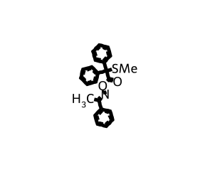 CSC(C(=O)O/N=C(\C)c1ccccc1)(c1ccccc1)c1ccccc1